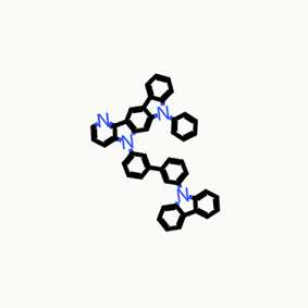 c1ccc(-n2c3ccccc3c3cc4c5ncccc5n(-c5cccc(-c6cccc(-n7c8ccccc8c8ccccc87)c6)c5)c4cc32)cc1